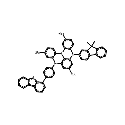 CC(C)(C)c1ccc2c(c1)B1c3ccc(C(C)(C)C)cc3N(c3ccc(-c4cccc5c4sc4ccccc45)cc3)c3cc(C(C)(C)C)cc(c31)N2c1ccc2c(c1)C(C)(C)c1ccccc1-2